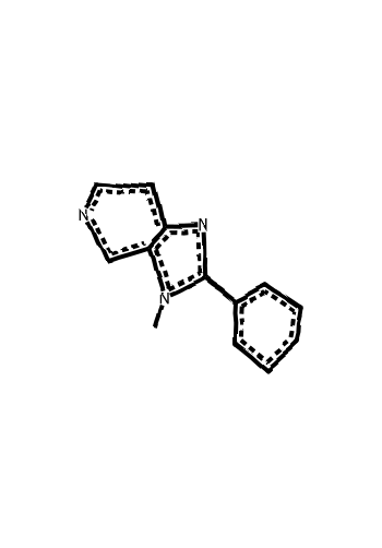 Cn1c(-c2ccccc2)nc2ccncc21